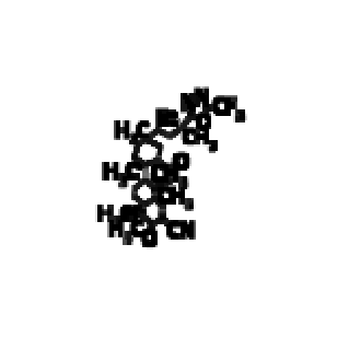 CC[C@](C)(CC[C@]1(C)CC[C@]2(C)C(C1)C(=O)C=C1[C@@]3(C)C=C(C#N)C(=O)C(C)(C)[C@@H]3CC[C@]12C)c1nnc(C(F)(F)F)o1